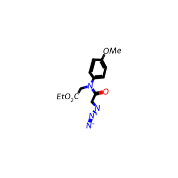 CCOC(=O)CN(C(=O)CN=[N+]=[N-])c1ccc(OC)cc1